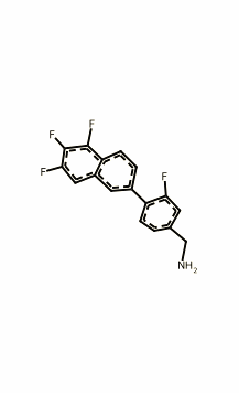 NCc1ccc(-c2ccc3c(F)c(F)c(F)cc3c2)c(F)c1